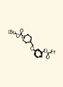 CCC(=O)Oc1cccc(OCC2CCN(C(=O)OC(C)(C)C)CC2)c1